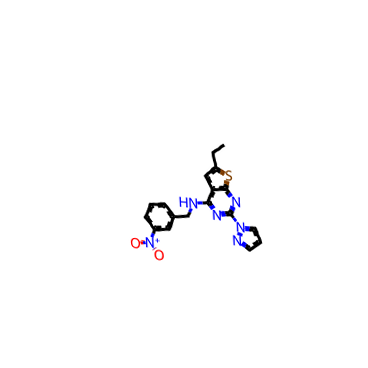 CCc1cc2c(NCc3cccc([N+](=O)[O-])c3)nc(-n3cccn3)nc2s1